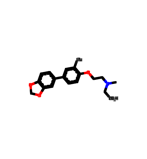 CN(CCOc1ccc(-c2ccc3c(c2)OCO3)cc1C(C)(C)C)CC(=O)O